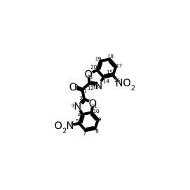 O=C(c1nc2c([N+](=O)[O-])cccc2o1)c1nc2c([N+](=O)[O-])cccc2o1